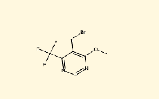 COc1ncnc(C(F)(F)F)c1CBr